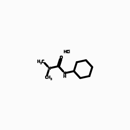 CN(C)C(=O)NC1CCCCC1.Cl